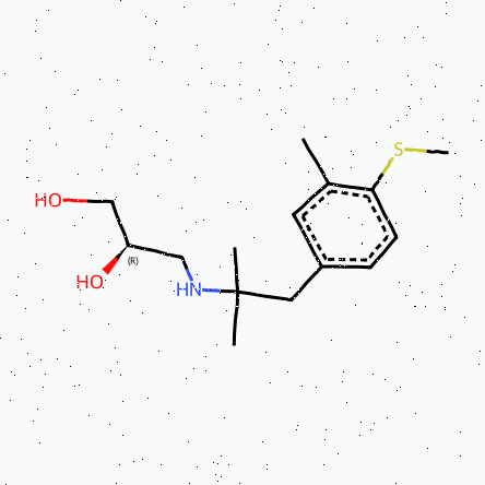 CSc1ccc(CC(C)(C)NC[C@@H](O)CO)cc1C